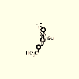 CCCC[C@H]1CN(Cc2cccc(CC(=O)O)c2)CCN1c1nc2ccc(C(F)(F)F)cc2s1